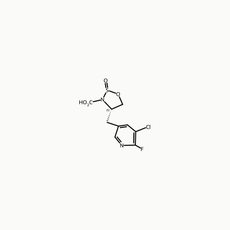 O=C(O)N1[C@@H](Cc2cnc(F)c(Cl)c2)COS1=O